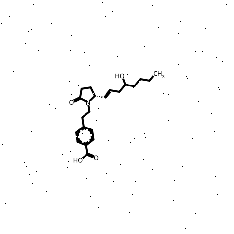 CCCCC(O)C/C=C/[C@H]1CCC(=O)N1CCc1ccc(C(=O)O)cc1